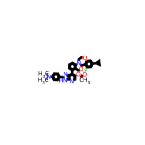 CC(=O)OCc1c(-c2ccnc3[nH]c(-c4ccc(N(C)C)cc4)nc23)cccc1N1CCOc2cc(C3CC3)cc(F)c2C1=O